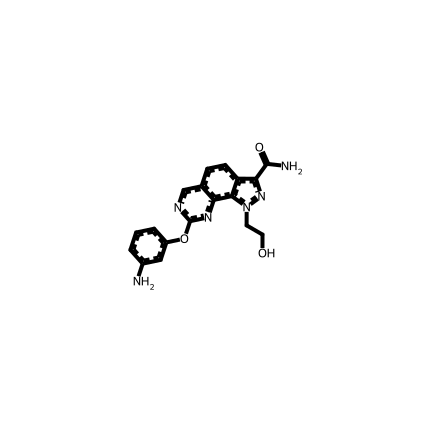 NC(=O)c1nn(CCO)c2c1ccc1cnc(Oc3cccc(N)c3)nc12